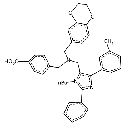 CCCCn1c(-c2ccccc2)nc(-c2cccc(C)c2)c1CN(Cc1ccc(C(=O)O)cc1)Cc1ccc2c(c1)OCCO2